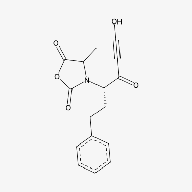 CC1C(=O)OC(=O)N1[C@@H](CCc1ccccc1)C(=O)C#CO